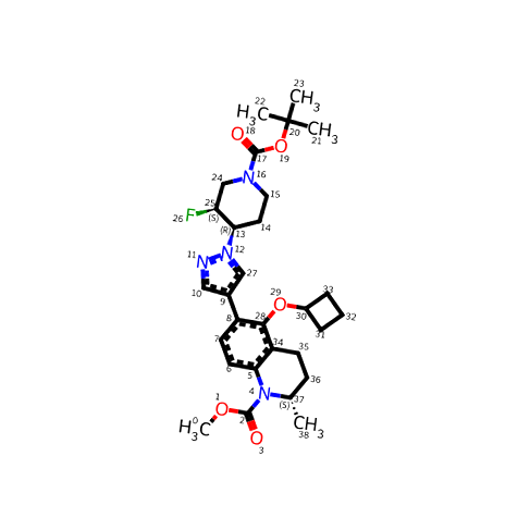 COC(=O)N1c2ccc(-c3cnn([C@@H]4CCN(C(=O)OC(C)(C)C)C[C@@H]4F)c3)c(OC3CCC3)c2CC[C@@H]1C